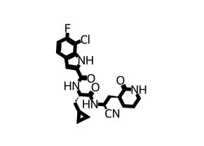 N#C[C@H](C[C@@H]1CCCNC1=O)NC(=O)[C@H](CC1CC1)NC(=O)c1cc2ccc(F)c(Cl)c2[nH]1